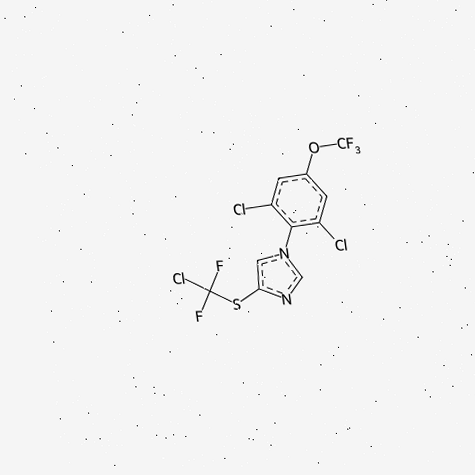 FC(F)(F)Oc1cc(Cl)c(-n2cnc(SC(F)(F)Cl)c2)c(Cl)c1